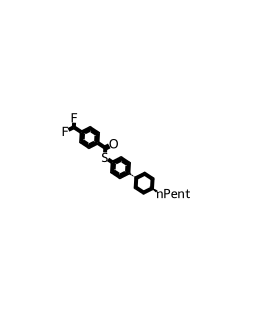 CCCCC[C@H]1CC[C@H](c2ccc(SC(=O)c3ccc(C(F)F)cc3)cc2)CC1